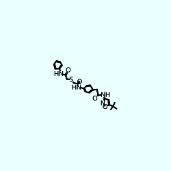 CC(C)(C)c1cc(NC(=O)Cc2ccc(NC(=O)CSCC(=O)Nc3ccccc3)cc2)no1